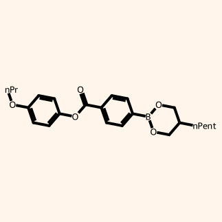 CCCCCC1COB(c2ccc(C(=O)Oc3ccc(OCCC)cc3)cc2)OC1